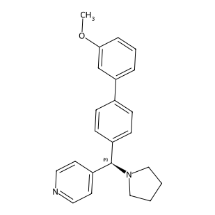 COc1cccc(-c2ccc([C@H](c3ccncc3)N3CCCC3)cc2)c1